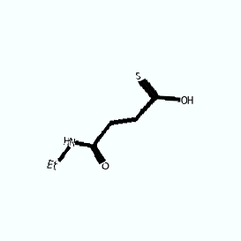 CCNC(=O)CCC(O)=S